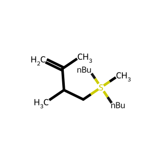 C=C(C)C(C)CS(C)(CCCC)CCCC